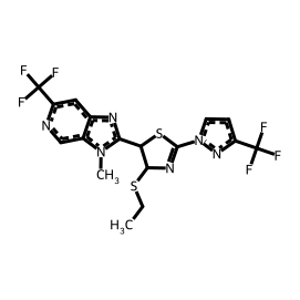 CCSC1N=C(n2ccc(C(F)(F)F)n2)SC1c1nc2cc(C(F)(F)F)ncc2n1C